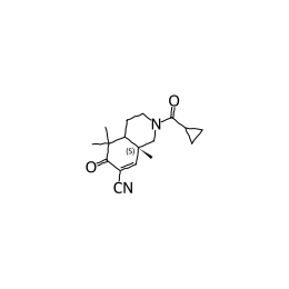 CC1(C)C(=O)C(C#N)=C[C@@]2(C)CN(C(=O)C3CC3)CCC12